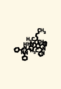 C=C/C=C\C=C/C(C)C1Nc2cc(C3=NC(c4ccccc4)=NC(c4ccccc4)=CN3)ccc2-c2c1c(C)c1c(c(-c3ccccn3)nc3ccccc31)c2C